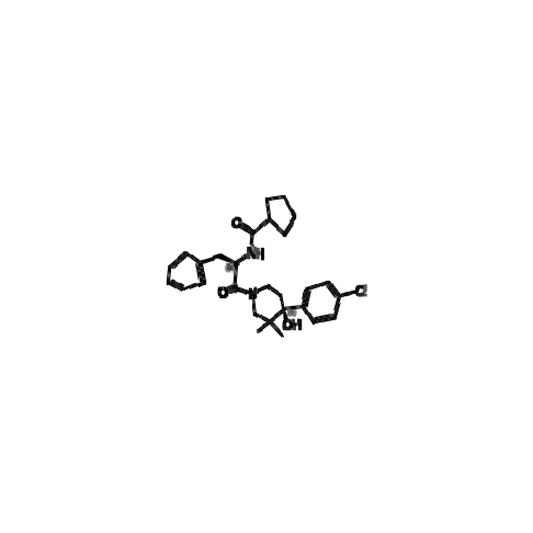 CC1(C)CN(C(=O)[C@@H](Cc2ccccc2)NC(=O)C2CCCC2)CC[C@]1(O)c1ccc(Cl)cc1